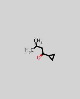 CC(C)CC(=O)C1CC1